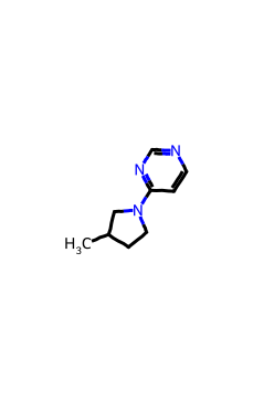 CC1CCN(c2ccncn2)C1